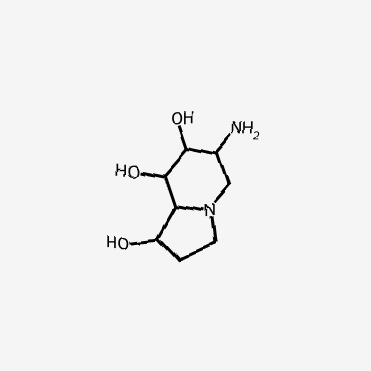 NC1CN2CCC(O)C2C(O)C1O